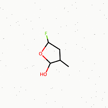 CC1CC(F)OC1O